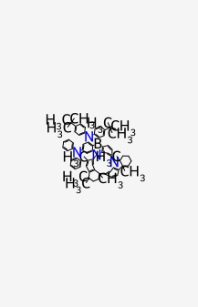 Cc1cc2c3cc1N1c4cc(ccc4B4c5cc(C(C)(C)C)ccc5N(c5ccc(C(C)(C)C)cc5)c5cc(N(c6ccccc6)c6ccccc6)cc1c54)N1c4cc(ccc4C4(C)CCCCC14C)C3(C)CCC2(C)C